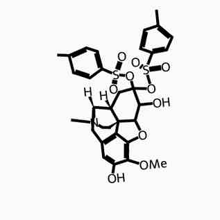 COc1c(O)cc2c3c1OC1C(O)C(OS(=O)(=O)c4ccc(C)cc4)(OS(=O)(=O)c4ccc(C)cc4)C[C@H]4[C@@H](C2)N(C)CC[C@]314